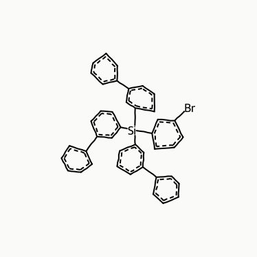 Brc1cccc([Si](c2cccc(-c3ccccc3)c2)(c2cccc(-c3ccccc3)c2)c2cccc(-c3ccccc3)c2)c1